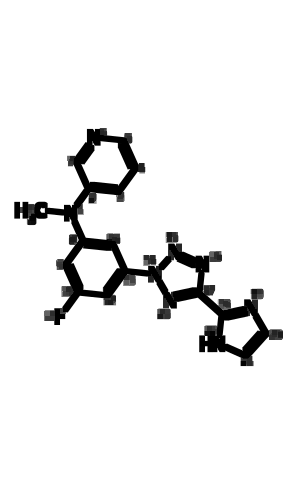 CN(c1cccnc1)c1cc(F)cc(-n2nnc(-c3ncc[nH]3)n2)c1